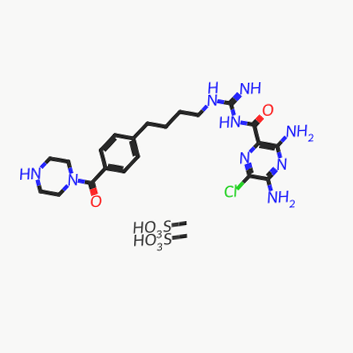 CS(=O)(=O)O.CS(=O)(=O)O.N=C(NCCCCc1ccc(C(=O)N2CCNCC2)cc1)NC(=O)c1nc(Cl)c(N)nc1N